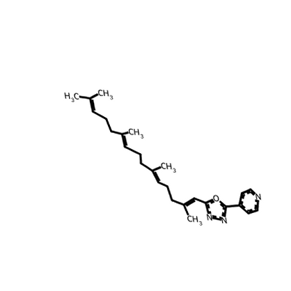 CC(C)=CCC/C(C)=C/CC/C(C)=C/CC/C(C)=C/c1nnc(-c2ccncc2)o1